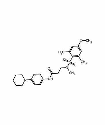 COc1cc(C)c(S(=O)(=O)N(C)CCC(=O)Nc2ccc(N3CCCCC3)cc2)c(C)c1